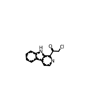 O=C(CCl)c1nccc2c1[nH]c1ccccc12